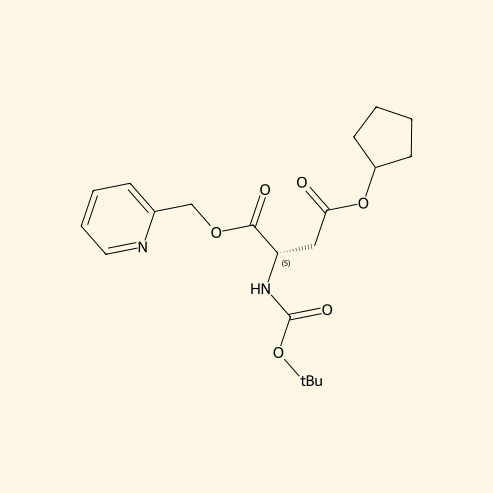 CC(C)(C)OC(=O)N[C@@H](CC(=O)OC1CCCC1)C(=O)OCc1ccccn1